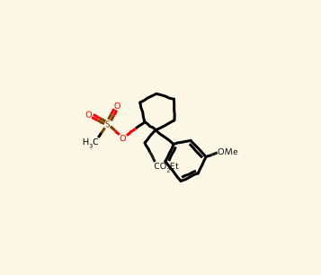 CCOC(=O)CC1(c2cccc(OC)c2)CCCCC1OS(C)(=O)=O